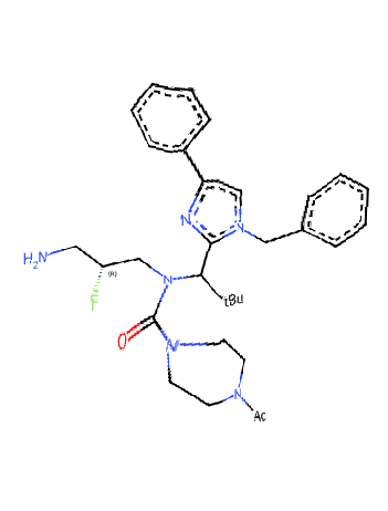 CC(=O)N1CCN(C(=O)N(C[C@H](F)CN)C(c2nc(-c3ccccc3)cn2Cc2ccccc2)C(C)(C)C)CC1